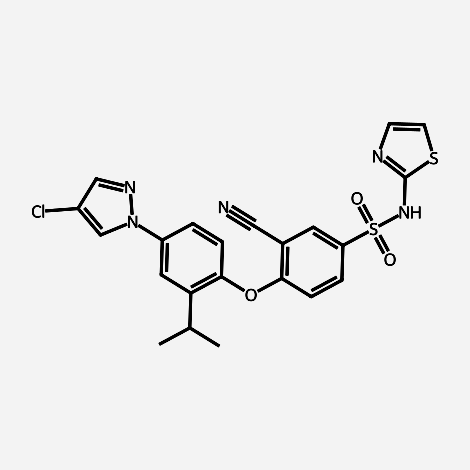 CC(C)c1cc(-n2cc(Cl)cn2)ccc1Oc1ccc(S(=O)(=O)Nc2nccs2)cc1C#N